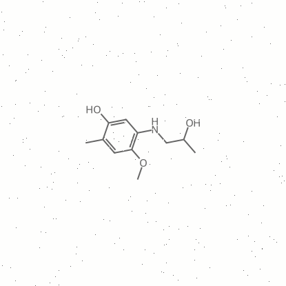 COc1cc(C)c(O)cc1NCC(C)O